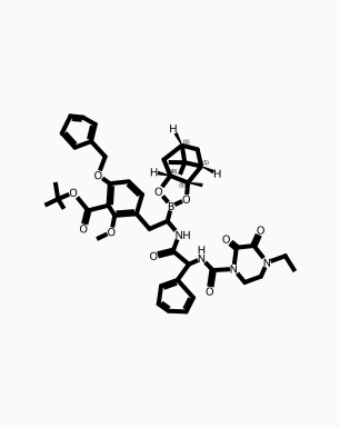 CCN1CCN(C(=O)NC(C(=O)NC(Cc2ccc(OCc3ccccc3)c(C(=O)OC(C)(C)C)c2OC)B2O[C@@H]3C[C@@H]4C[C@@H](C4(C)C)[C@]3(C)O2)c2ccccc2)C(=O)C1=O